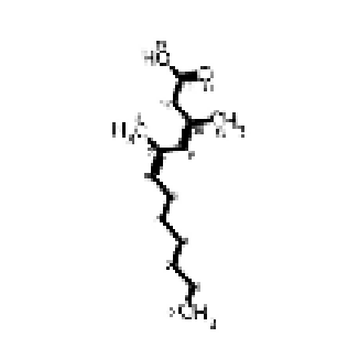 CCCCCC/C=C(C)\C=C(\C)CC(=O)O